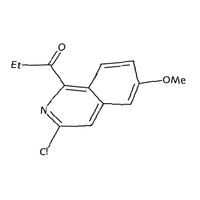 CCC(=O)c1nc(Cl)cc2cc(OC)ccc12